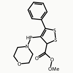 COOC(=O)C1SSC(c2ccccc2)=C1PN1CCOCC1